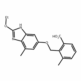 CCOc1nc2c(C)cc(OCc3c(C)cccc3C(=O)O)cc2[nH]1